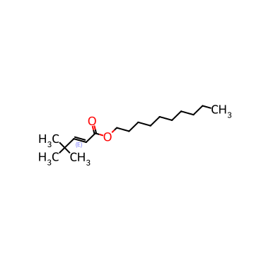 CCCCCCCCCCOC(=O)/C=C/C(C)(C)C